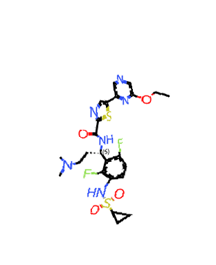 CCOc1cncc(-c2cnc(C(=O)N[C@@H](CCN(C)C)c3c(F)ccc(NS(=O)(=O)C4CC4)c3F)s2)n1